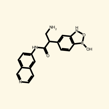 NCC(C(=O)Nc1ccc2cnccc2c1)c1ccc2c(c1)NOB2O